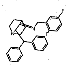 Fc1ccc(F)c(CN=C2C3CCN(CC3)C2C(c2ccccc2)c2ccccc2)c1